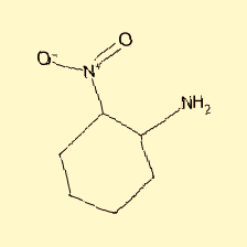 NC1CCCCC1[N+](=O)[O-]